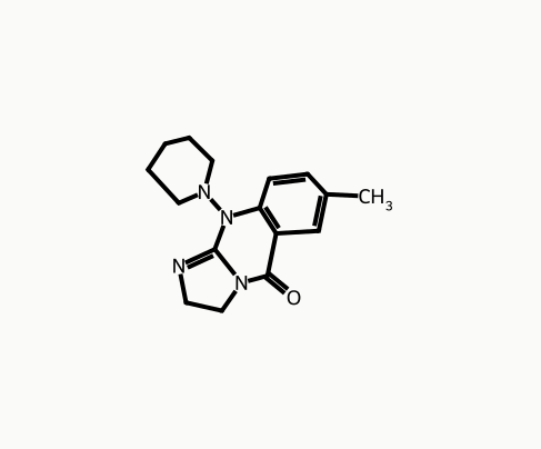 Cc1ccc2c(c1)C(=O)N1CCN=C1N2N1CCCCC1